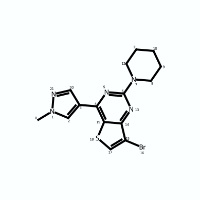 Cn1cc(-c2nc(N3CCCCC3)nc3c(Br)csc23)cn1